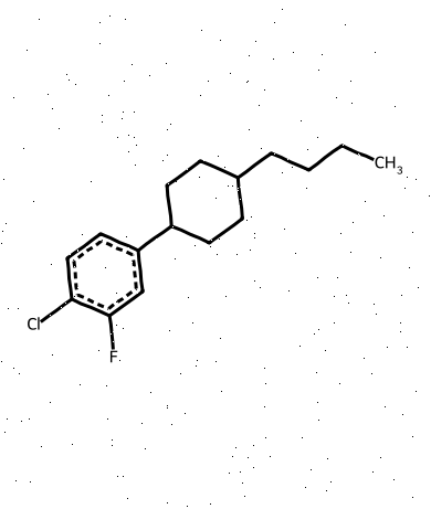 CCCCC1CCC(c2ccc(Cl)c(F)c2)CC1